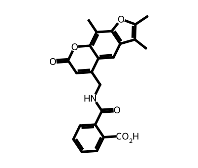 Cc1oc2c(C)c3oc(=O)cc(CNC(=O)c4ccccc4C(=O)O)c3cc2c1C